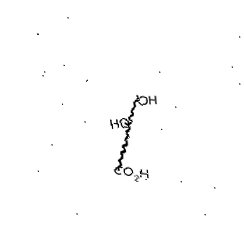 CC(O)CCCCCCC(O)C=CC=CC=CC=CC=CC=CC(=O)O